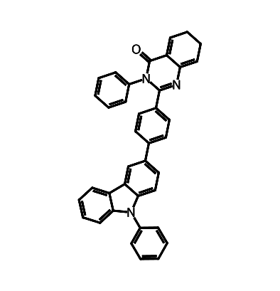 O=c1c2c(nc(-c3ccc(-c4ccc5c(c4)c4ccccc4n5-c4ccccc4)cc3)n1-c1ccccc1)=CCCC=2